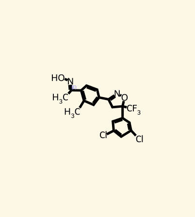 C/C(=N\O)c1ccc(C2=NOC(c3cc(Cl)cc(Cl)c3)(C(F)(F)F)C2)cc1C